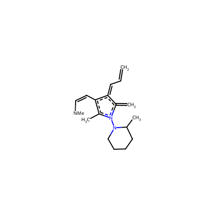 C=C/C=c1/c(/C=C\NC)c(C)n(N2CCCCC2C)c1=C